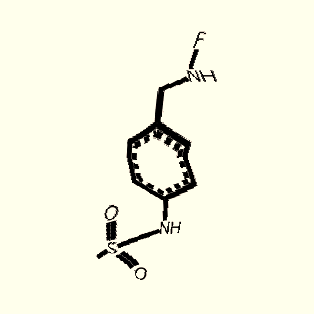 CS(=O)(=O)Nc1ccc(CNF)cc1